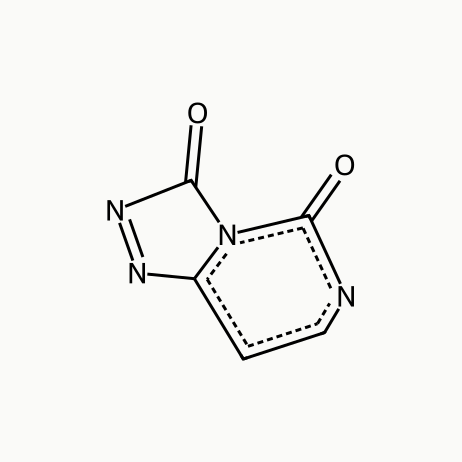 O=C1N=Nc2ccnc(=O)n21